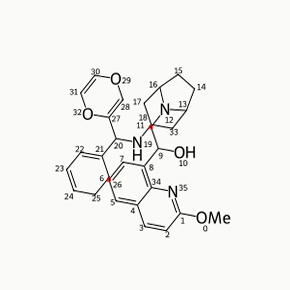 COc1ccc2cccc(C(O)CN3C4CCC3CC(NC(C3=CC=CCC3)C3=COC=CO3)C4)c2n1